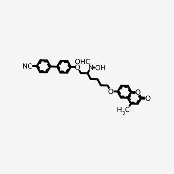 Cc1cc(=O)oc2ccc(OCCCCC(COc3ccc(-c4ccc(C#N)cc4)cc3)N(O)C=O)cc12